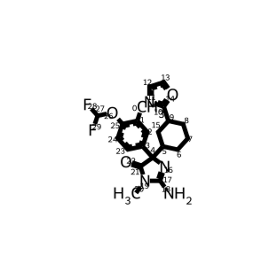 Cc1cc(C2(C3CCCC(c4ncco4)C3)N=C(N)N(C)C2=O)ccc1OC(F)F